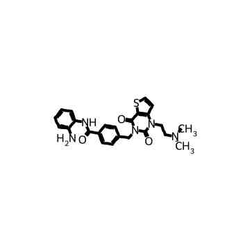 CN(C)CCn1c(=O)n(Cc2ccc(C(=O)Nc3ccccc3N)cc2)c(=O)c2sccc21